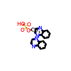 COS(=O)(=O)O.c1ccc2nccnc2c1.c1ccc2nccnc2c1